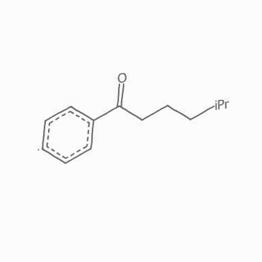 CC(C)CCCC(=O)c1cc[c]cc1